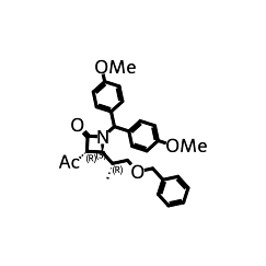 COc1ccc(C(c2ccc(OC)cc2)N2C(=O)[C@@H](C(C)=O)[C@@H]2[C@@H](C)COCc2ccccc2)cc1